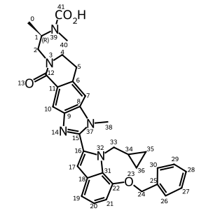 C[C@H](CN1CCc2cc3c(cc2C1=O)nc(-c1cc2cccc(OCc4ccccc4)c2n1CC1CC1)n3C)N(C)C(=O)O